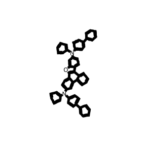 c1ccc(-c2ccc(N(c3ccccc3)c3ccc4c(c3)oc3c5ccc(N(c6ccccc6)c6ccc(-c7ccccc7)cc6)cc5c5ccccc5c43)cc2)cc1